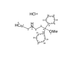 C#CCNCCC(OC)(c1ccccc1)c1ccccc1.Cl